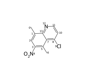 Cc1cc([N+](=O)[O-])c(C)c2c(Cl)ccnc12